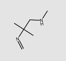 C=NC(C)(C)CNC